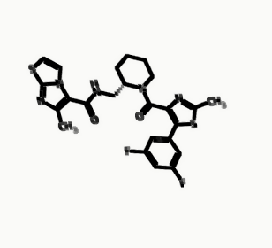 Cc1nc(C(=O)N2CCCC[C@H]2CNC(=O)c2c(C)nc3sccn23)c(-c2cc(F)cc(F)c2)s1